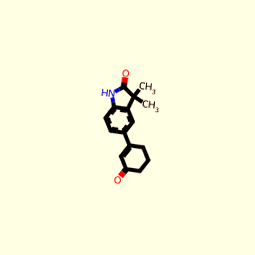 CC1(C)C(=O)Nc2ccc(C3=CC(=O)CCC3)cc21